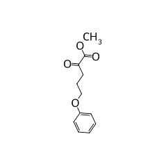 COC(=O)C(=O)CCCOc1ccccc1